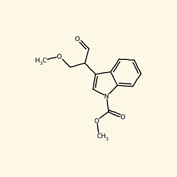 COCC(C=O)c1cn(C(=O)OC)c2ccccc12